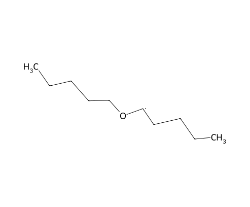 CCCC[CH]OCCCCC